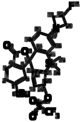 CC(C)(C)c1ccc2c(c1)C1(OC2=O)c2ccc(OS(=O)(=O)C(F)(F)F)cc2[Si](C)(C)c2cc(N3CC(F)C3)ccc21